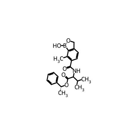 Cc1c(C(=O)NC(C(=O)O[C@H](C)c2ccccc2)C(C)C)ccc2c1B(O)OC2